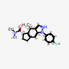 CCN(CC)C(=O)[C@H]1CCC2=C1[C@@H](C)C1=CNN(c3ccc(F)cc3)C1=C2